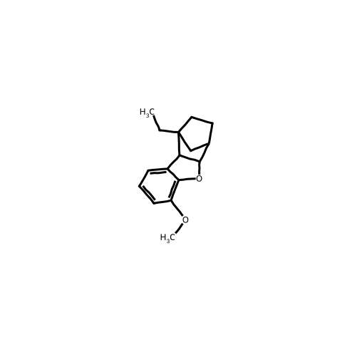 CCC12CCC(C1)C1Oc3c(OC)cccc3C12